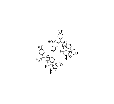 N[C@H](c1nc2cc(C3(N4CC(F)(F)CNC4=O)CCOCC3)ccc2o1)C1CCC(F)(F)CC1.O=C(O)N(Cc1ccccc1)[C@H](c1nc2cc(C3(N4CC(F)(F)CNC4=O)CCOCC3)ccc2o1)C1CCC(F)(F)CC1